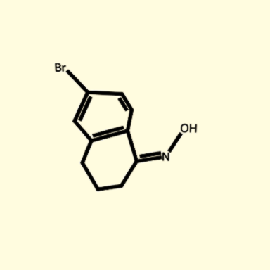 O/N=C1/CCCc2cc(Br)ccc21